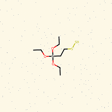 CCO[Si](CCSS)(OCC)OCC